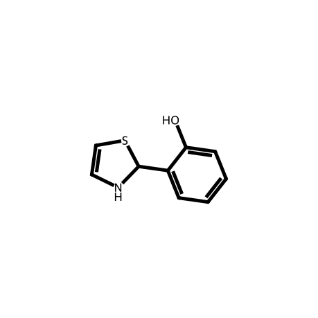 Oc1ccccc1C1NC=CS1